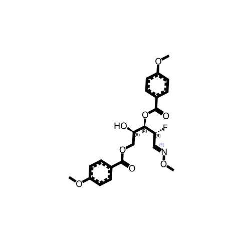 CO/N=C/[C@@H](F)[C@H](OC(=O)c1ccc(OC)cc1)[C@H](O)COC(=O)c1ccc(OC)cc1